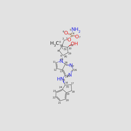 C[C@@]1(COS(N)(=O)=O)C[C@@H](n2ccc3c(N[C@H]4CCc5ccccc54)ncnc32)C[C@@H]1O